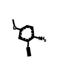 C#Cc1cc(OC)ccc1N